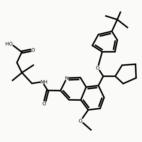 COc1ccc(C(Oc2ccc(C(C)(C)C)cc2)C2CCCC2)c2cnc(C(=O)NCC(C)(C)CC(=O)O)cc12